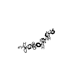 Cc1cccc(-c2nccc(Nc3ccnc(Nc4ccc(S(=O)(=O)N5CCN(C(=O)NC(C)C)CC5)cc4)n3)n2)n1